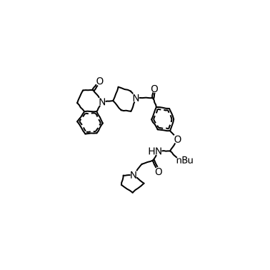 CCCCC(NC(=O)CN1CCCC1)Oc1ccc(C(=O)N2CCC(N3C(=O)CCc4ccccc43)CC2)cc1